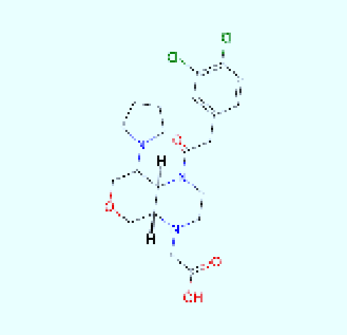 O=C(O)CN1CCN(C(=O)Cc2ccc(Cl)c(Cl)c2)[C@@H]2C(N3CCCC3)COC[C@H]21